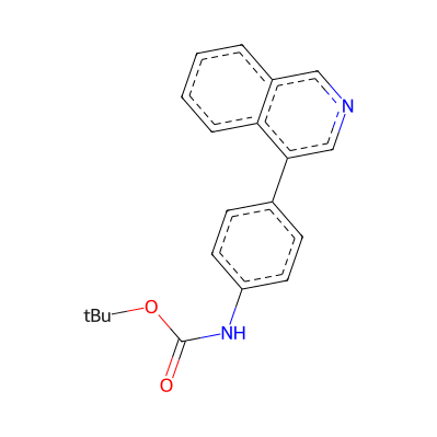 CC(C)(C)OC(=O)Nc1ccc(-c2cncc3ccccc23)cc1